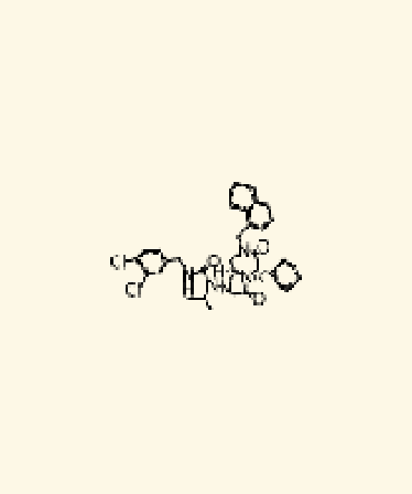 CC(C)N(C(=O)NCc1ccc(Cl)c(Cl)c1)N1CC(=O)N2[C@@H](c3ccccc3)C(=O)N(Cc3cccc4ccccc34)C[C@@H]21